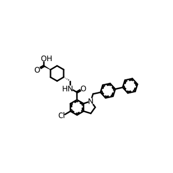 O=C(NC[C@H]1CC[C@H](C(=O)O)CC1)c1cc(Cl)cc2c1N(Cc1ccc(-c3ccccc3)cc1)CC2